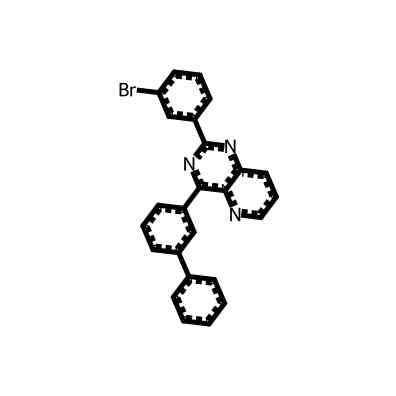 Brc1cccc(-c2nc(-c3cccc(-c4ccccc4)c3)c3ncccc3n2)c1